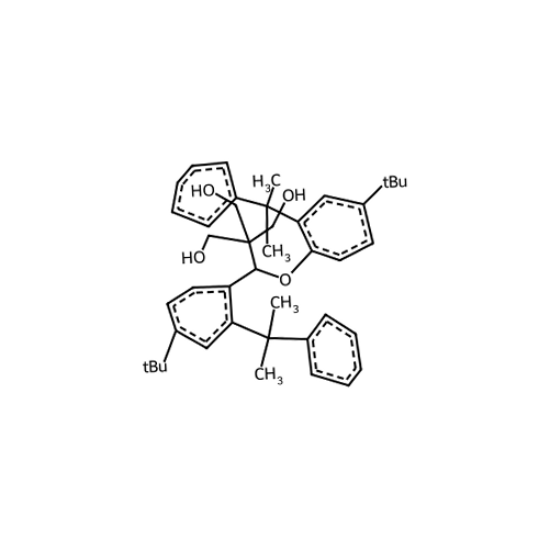 CC(C)(C)c1ccc(OC(c2ccc(C(C)(C)C)cc2C(C)(C)c2ccccc2)C(CO)(CO)CO)c(C(C)(C)c2ccccc2)c1